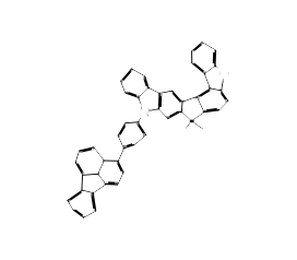 CC1(C)c2cc3c(cc2-c2c1ccc1oc4ccccc4c21)c1ccccc1n3-c1ccc(C2=CC=C3c4ccccc4C4=CC=CC2C43)cc1